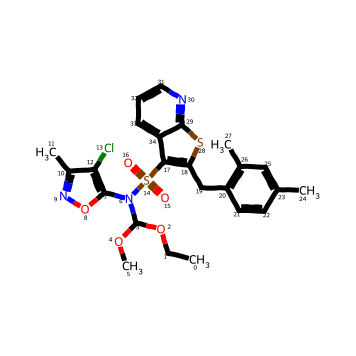 CCOC(OC)N(c1onc(C)c1Cl)S(=O)(=O)c1c(Cc2ccc(C)cc2C)sc2ncccc12